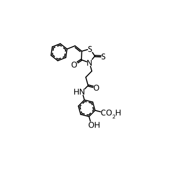 O=C(CCN1C(=O)/C(=C\c2ccccc2)SC1=S)Nc1ccc(O)c(C(=O)O)c1